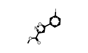 COC(=O)c1cc(-c2cccc(I)c2)on1